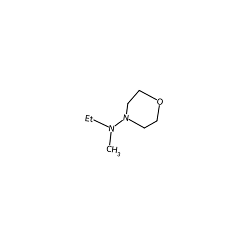 CCN(C)N1CCOCC1